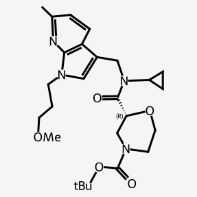 COCCCn1cc(CN(C(=O)[C@H]2CN(C(=O)OC(C)(C)C)CCO2)C2CC2)c2ccc(C)nc21